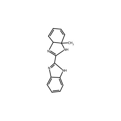 CC12C=CC=CC1N=C(c1nc3ccccc3[nH]1)N2